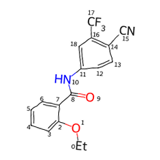 CCOc1ccccc1C(=O)Nc1ccc(C#N)c(C(F)(F)F)c1